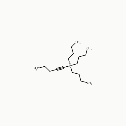 CCCC#C[PH](CCCC)(CCCC)CCCC